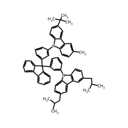 Cc1ccc2c(c1)c1cc(C(C)(C)C)ccc1n2-c1cccc(C2(c3cccc(-n4c5ccc(CC(C)C)cc5c5cc(CC(C)C)ccc54)c3)c3ccccc3-c3ccccc32)c1